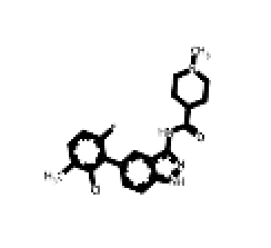 Cc1ccc(F)c(-c2ccc3[nH]nc(NC(=O)C4CCN(C)CC4)c3c2)c1Cl